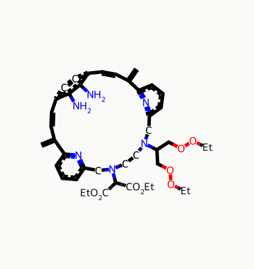 C=C1/C=C\c2ccc(c(N)c2N)/C=C\C(=C)c2cccc(n2)CN(C(C(=O)OCC)C(=O)OCC)CCN(C(COOCC)COOCC)Cc2cccc1n2